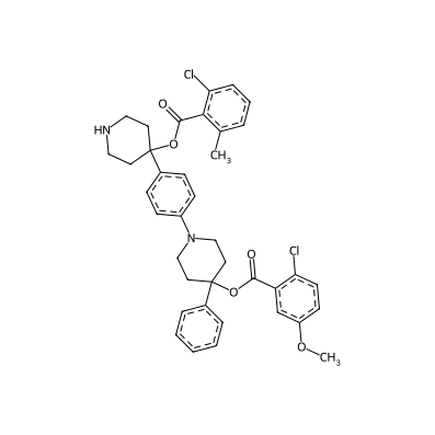 COc1ccc(Cl)c(C(=O)OC2(c3ccccc3)CCN(c3ccc(C4(OC(=O)c5c(C)cccc5Cl)CCNCC4)cc3)CC2)c1